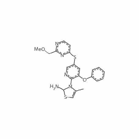 COCc1nccc(Sc2cnc(N3C(C)=CSC3N)c(Oc3ccccc3)c2)n1